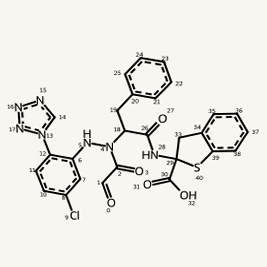 O=CC(=O)N(Nc1cc(Cl)ccc1-n1cnnn1)C(Cc1ccccc1)C(=O)NC1(C(=O)O)Cc2ccccc2S1